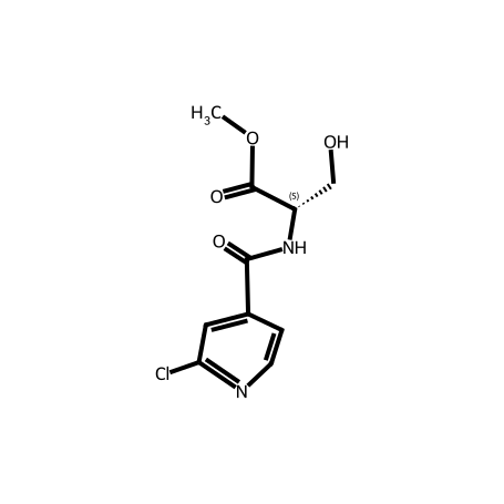 COC(=O)[C@H](CO)NC(=O)c1ccnc(Cl)c1